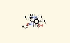 CONC1CC(C)(C)Nc2c(C)c(C)c(O)c(C)c21